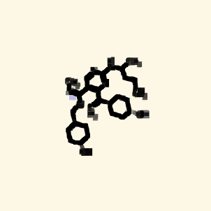 C=C(c1nc(NC(C)CCC)ncc1/C(=N\C)OC[C@H]1CC[C@H](O)CC1)[C@H]1CC[C@H](O)CC1